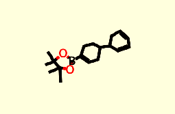 CC1(C)OB(C2=CCC(C3C=CC=CC3)CC2)OC1(C)C